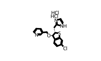 Cl.Cl.Clc1ccc2c(c1)S[C@@H](Cc1ncc[nH]1)[C@H]2OCc1cccnc1